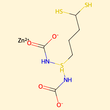 O=C([O-])N[SH](CCCC(S)S)NC(=O)[O-].[Zn+2]